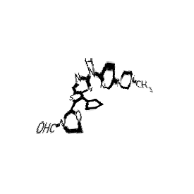 CN1CCN(c2ccc(Nc3ncc4sc(C5CN(C=O)CCO5)c(C5CCCC5)c4n3)nc2)CC1